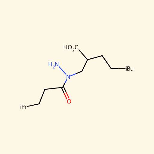 CCC(C)CCC(CN(N)C(=O)CCC(C)C)C(=O)O